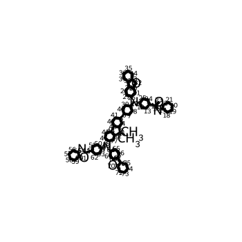 CC1(C)c2cc(-c3ccc(N(c4ccc(-c5nc6ccccc6o5)cc4)c4ccc5c(c4)oc4ccccc45)cc3)ccc2-c2ccc(N(c3ccc(-c4nc5ccccc5o4)cc3)c3ccc4c(c3)oc3ccccc34)cc21